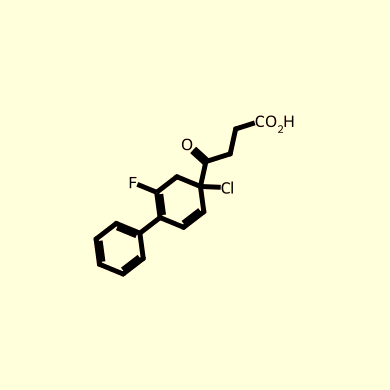 O=C(O)CCC(=O)C1(Cl)C=CC(c2ccccc2)=C(F)C1